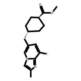 COC(=O)[C@H]1CC[C@H](Cc2cc(F)c3nc(C)cn3c2)CC1